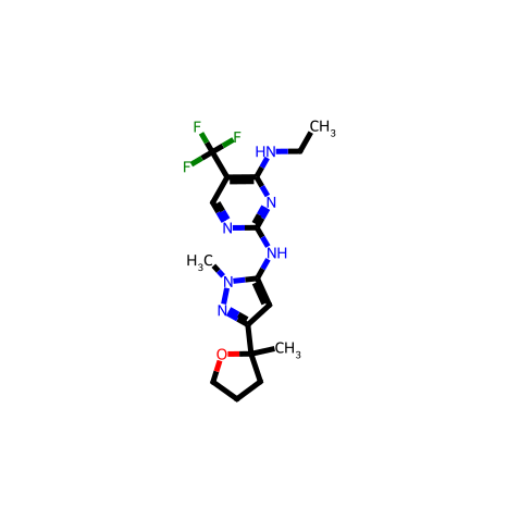 CCNc1nc(Nc2cc(C3(C)CCCO3)nn2C)ncc1C(F)(F)F